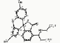 O=C(O)CNC(CC(=O)O)c1cccc2c1C(=O)OC21c2ccc(O)cc2Oc2cc(O)ccc21